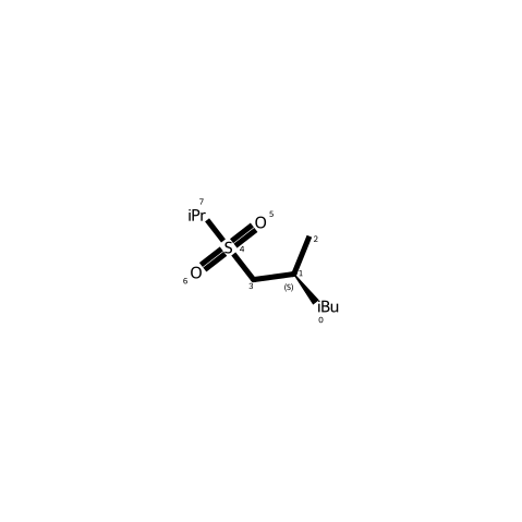 CCC(C)[C@H](C)CS(=O)(=O)C(C)C